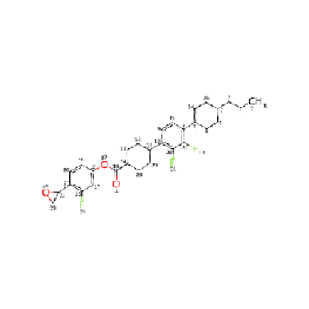 CCCC1CCC(c2ccc(C3CCC(C(=O)Oc4ccc(C5CO5)c(F)c4)CC3)c(F)c2F)CC1